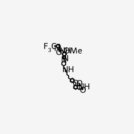 COc1cc2nn([C@H]3CC[C@H](CNCCCCCc4ccc(Oc5cccc6c5C(=O)NC(=O)C6)cc4)CC3)cc2cc1NC(=O)c1cccc(C(F)(F)F)n1